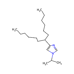 CCCCCCC(CCCCCC)c1cn(C(C)C)cn1